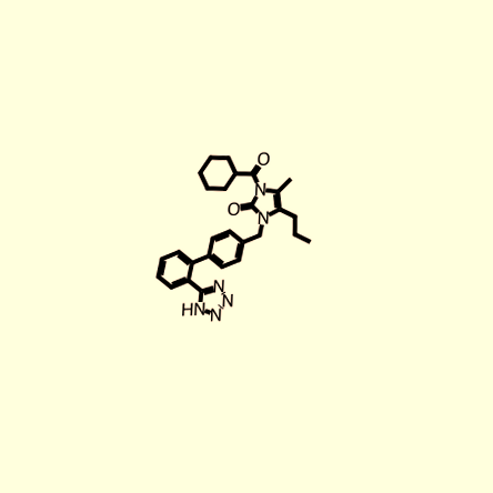 CCCc1c(C)n(C(=O)C2CCCCC2)c(=O)n1Cc1ccc(-c2ccccc2-c2nnn[nH]2)cc1